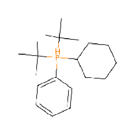 CC(C)(C)[PH](c1ccccc1)(C1CCCCC1)C(C)(C)C